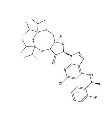 CC(C)[Si]1(C(C)C)OC[C@H]2O[C@@H](n3ncc4c(N[C@@H](C)c5ccccc5F)cc(Cl)nc43)C(=O)C2O[Si](C(C)C)(C(C)C)O1